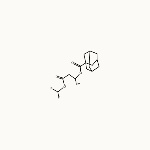 CC(C)C(CC(=O)OC(F)F)OC(=O)C12CC3CC(CC(C3)C1)C2